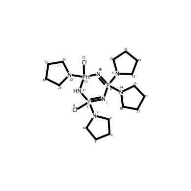 ClP1(N2CCCC2)=NP(N2CCCC2)(N2CCCC2)=N[PH](Cl)(N2CCCC2)N1